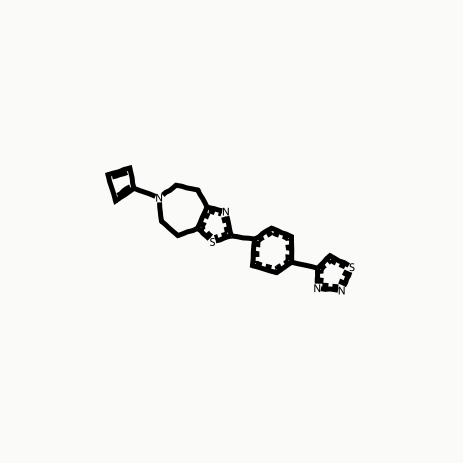 C1=CC(N2CCc3nc(-c4ccc(-c5csnn5)cc4)sc3CC2)=C1